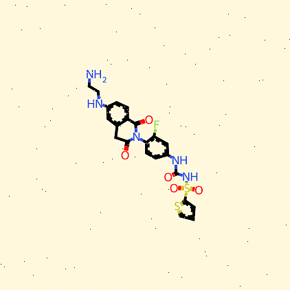 NCCNc1ccc2c(c1)CC(=O)N(c1ccc(NC(=O)NS(=O)(=O)c3cccs3)cc1F)C2=O